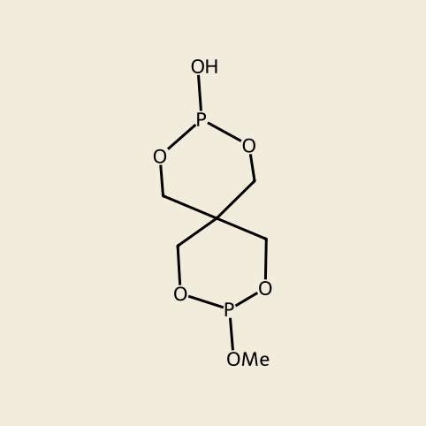 COP1OCC2(COP(O)OC2)CO1